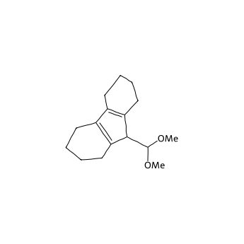 COC(OC)C1C2=C(CCCC2)C2=C1CCCC2